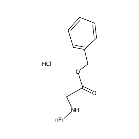 CCCNCC(=O)OCc1ccccc1.Cl